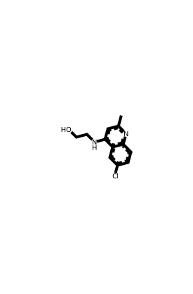 Cc1cc(NCCO)c2cc(Cl)ccc2n1